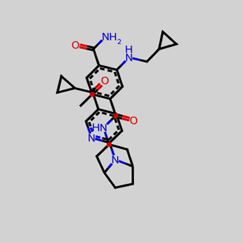 Cc1cc(C(N)=O)c(NCC2CC2)cc1C(=O)NC1CC2CCC(C1)N2c1ccc(C(=O)C2CC2)cn1